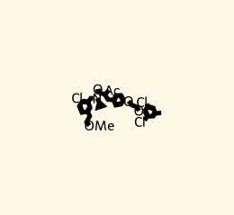 COCCc1ccc(Cl)c(CN(C(=O)C(Cc2ccc(OCCOc3c(Cl)cc(C)cc3Cl)cc2)C(C)=O)C2CC2)c1